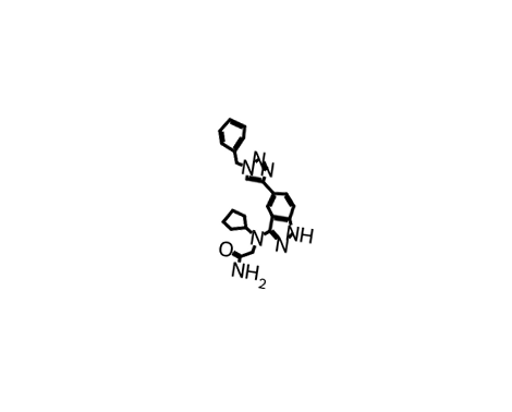 NC(=O)CN(c1n[nH]c2ccc(-c3cn(Cc4ccccc4)nn3)cc12)C1CCCC1